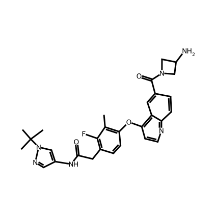 Cc1c(Oc2ccnc3ccc(C(=O)N4CC(N)C4)cc23)ccc(CC(=O)Nc2cnn(C(C)(C)C)c2)c1F